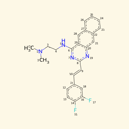 CN(C)CCNc1nc(C=Cc2ccc(F)c(F)c2)nc2cc3ccccc3cc12